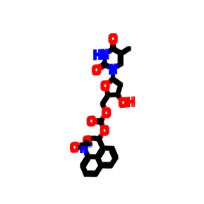 Cc1cn(C2CC(O)C(COC(=O)OC(C)c3cccc4cccc([N+](=O)[O-])c34)O2)c(=O)[nH]c1=O